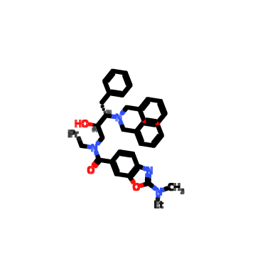 CCN(C)c1nc2ccc(C(=O)N(CC(C)C)C[C@@H](O)[C@H](Cc3ccccc3)N(Cc3ccccc3)Cc3ccccc3)cc2o1